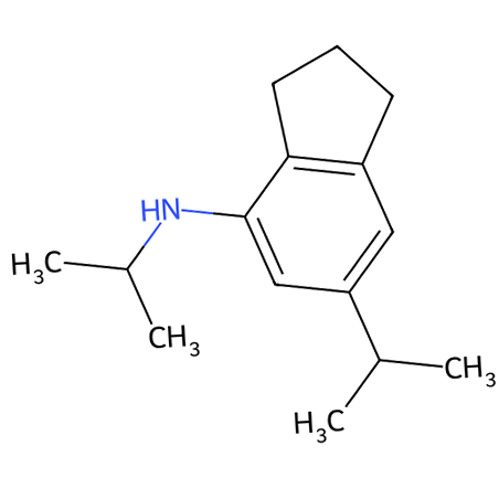 CC(C)Nc1cc(C(C)C)cc2c1CCC2